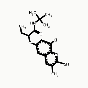 CCC(Oc1cc(Cl)c2nc(S)c(C)cc2c1)C(=O)NC(C)(C)C